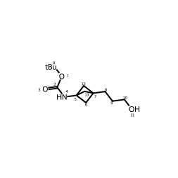 CC(C)(C)OC(=O)NC12CC(CCCO)(C1)C2